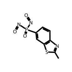 Cc1nc2ccc(P(=O)(N=O)N=O)cc2s1